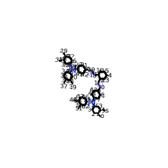 Cc1ccc(N(c2ccc(/C=C/c3ccccc3/C=C/c3ccc(N(c4ccc(C)c(C)c4)c4ccc(C)c(C)c4)cc3)cc2)c2ccc(C)c(C)c2)cc1C